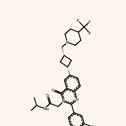 CC(C)NC(=O)Cn1c(-c2cccc(Cl)c2)nc2ccc([C@H]3C[C@@H](CN4CCC(C(F)(F)F)CC4)C3)cc2c1=O